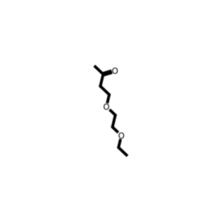 CCOCCOCCC(C)=O